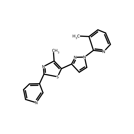 Cc1cccnc1-n1ccc(-c2sc(-c3cccnc3)nc2C)n1